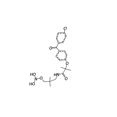 CC(C)(CNC(=O)C(C)(C)Oc1ccc(C(=O)c2ccc(Cl)cc2)cc1)CON(O)O